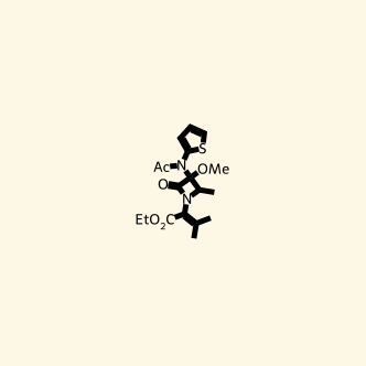 CCOC(=O)C(=C(C)C)N1C(=O)C(OC)(N(C(C)=O)c2cccs2)C1C